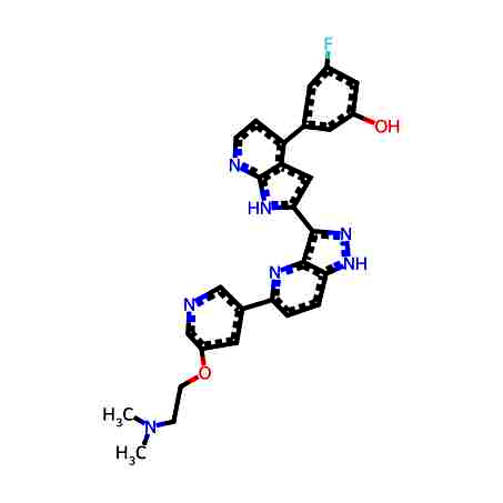 CN(C)CCOc1cncc(-c2ccc3[nH]nc(-c4cc5c(-c6cc(O)cc(F)c6)ccnc5[nH]4)c3n2)c1